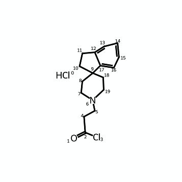 Cl.O=C(Cl)CCN1CCC2(CCc3ccccc32)CC1